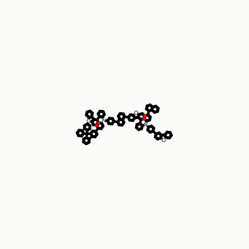 c1ccc(C2(c3ccccc3)c3ccccc3-c3ccc(-c4ccc(N(c5ccc(-c6cccc7c(-c8ccc9c(c8)oc8cccc(-c%10ccccc%10N(c%10ccc(-c%11ccc%12oc%13ccccc%13c%12c%11)cc%10)c%10ccc(-c%11cccc%12ccccc%11%12)cc%10)c89)cccc67)cc5)c5ccccc5-c5cccc6oc7ccccc7c56)cc4)cc32)cc1